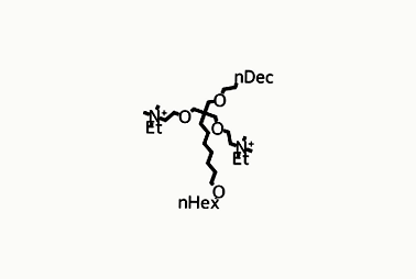 CCCCCCCCCCCCOCC(CCCCCCCOCCCCCC)(COCC[N+](C)(C)CC)COCC[N+](C)(C)CC